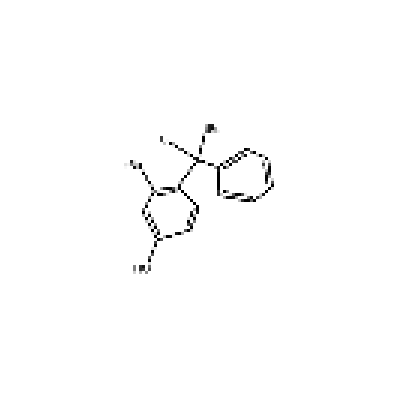 CC(C)(C)c1cc(O)ccc1C(Br)(c1ccccc1)C(C)(C)C